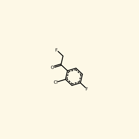 O=C(CF)c1ccc(F)cc1Cl